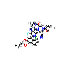 C=CC(=O)Oc1cc(-c2ncc3c4c(cnc3c2F)N(C)C(=O)C2CN(C(=O)C=C)C(CC#N)CN42)c2c(Cl)cccc2c1